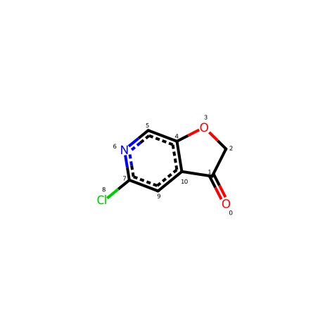 O=C1COc2cnc(Cl)cc21